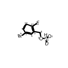 O=[SH](=O)O[CH]c1cc(Br)ccc1F